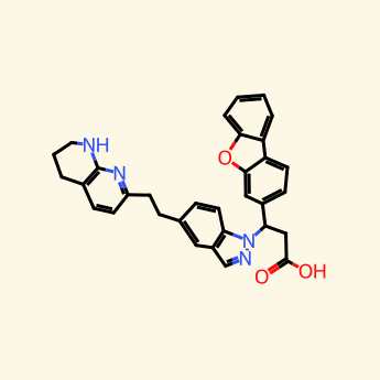 O=C(O)CC(c1ccc2c(c1)oc1ccccc12)n1ncc2cc(CCc3ccc4c(n3)NCCC4)ccc21